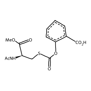 COC(=O)[C@@H](CSC(=O)Oc1ccccc1C(=O)O)NC(C)=O